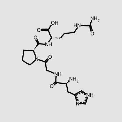 NC(=O)NCCC[C@H](NC(=O)[C@@H]1CCCN1C(=O)CNC(=O)[C@@H](N)Cc1c[nH]cn1)C(=O)O